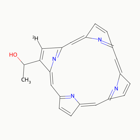 [2H]C1=C(C(C)O)C2=CC3=NC(=CC4=NC(=CC5=NC(=CC1=N2)C=C5)C=C4)C=C3